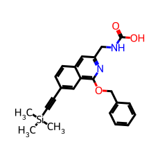 C[Si](C)(C)C#Cc1ccc2cc(CNC(=O)O)nc(OCc3ccccc3)c2c1